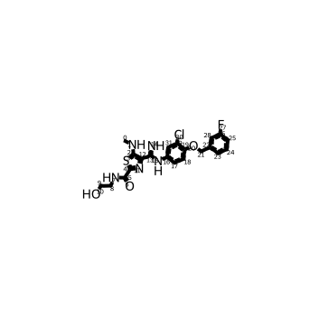 CNc1sc(C(=O)NCCO)nc1C(=N)Nc1ccc(OCc2cccc(F)c2)c(Cl)c1